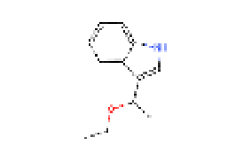 [CH2]C(OCC)c1c[nH]c2ccccc12